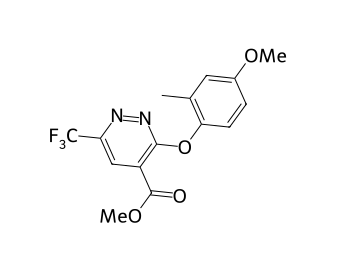 COC(=O)c1cc(C(F)(F)F)nnc1Oc1ccc(OC)cc1C